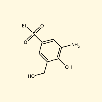 CCS(=O)(=O)c1cc(N)c(O)c(CO)c1